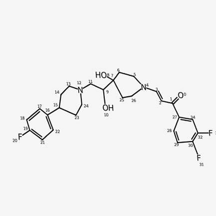 O=C(C=CN1CCC(O)(C(O)CN2CCC(c3ccc(F)cc3)CC2)CC1)c1ccc(F)c(F)c1